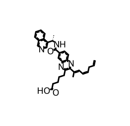 C=CC/C=C\C=C(/C)c1nc2ccc(C(=O)N[C@@H](C)c3cncc4ccccc34)cc2nc1CCCCC(=O)O